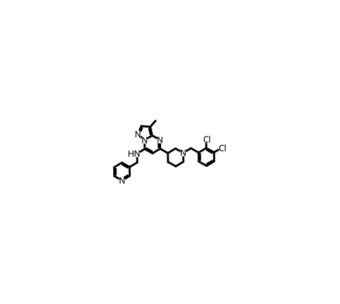 Cc1cnn2c(NCc3cccnc3)cc(C3CCCN(Cc4cccc(Cl)c4Cl)C3)nc12